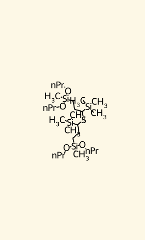 CCCO[Si](C)(CCC(SC(CC[Si](C)(OCCC)OCCC)[Si](C)(C)C)[Si](C)(C)C)OCCC